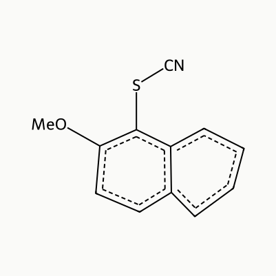 COc1ccc2ccccc2c1SC#N